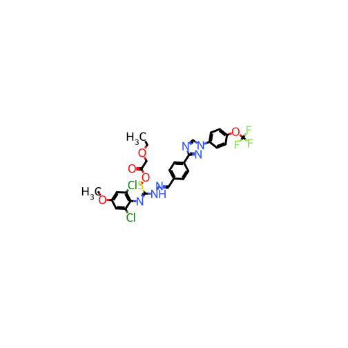 CCOCC(=O)OS/C(=N\c1c(Cl)cc(OC)cc1Cl)N/N=C/c1ccc(-c2ncn(-c3ccc(OC(F)(F)F)cc3)n2)cc1